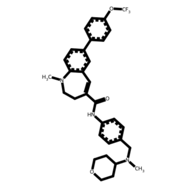 CN1CCC(C(=O)Nc2ccc(CN(C)C3CCOCC3)cc2)=Cc2cc(-c3ccc(OC(F)(F)F)cc3)ccc21